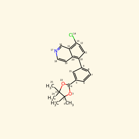 CC1(C)OB(c2cccc(-c3ccc(Cl)c4cnccc34)c2)OC1(C)C